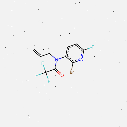 C=CCN(C(=O)C(F)(F)F)c1ccc(F)nc1Br